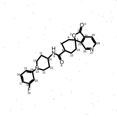 O=C1OC2(CCC(C(=O)NC3CCN(c4cccc(F)c4)CC3)CC2)c2cnccc21